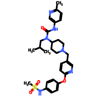 Cc1ccc(NC(=O)N(CC(C)C)C2CCN(Cc3ccc(Oc4ccc(NS(C)(=O)=O)cc4)nc3)CC2)cn1